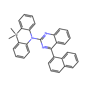 C[Si]1(C)c2ccccc2N(c2nc(-c3cccc4ccccc34)c3ccccc3n2)c2ccccc21